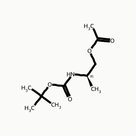 CC(=O)OC[C@@H](C)NC(=O)OC(C)(C)C